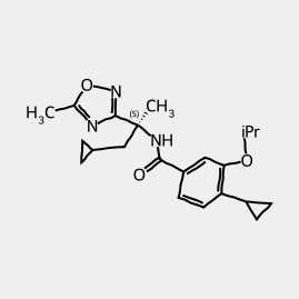 Cc1nc([C@](C)(CC2CC2)NC(=O)c2ccc(C3CC3)c(OC(C)C)c2)no1